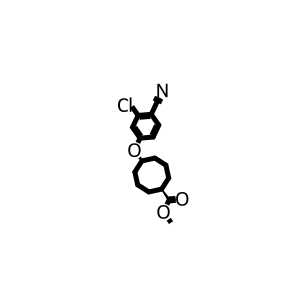 COC(=O)[C@H]1CCC[C@@H](Oc2ccc(C#N)c(Cl)c2)CCC1